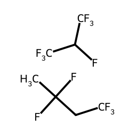 CC(F)(F)CC(F)(F)F.FC(C(F)(F)F)C(F)(F)F